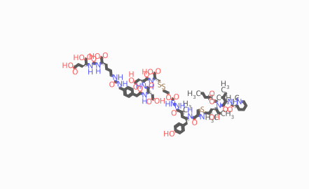 CCCC(=O)OCN(C(=O)[C@@H](NC(=O)[C@H]1CCCCN1C)C(C)CC)[C@H](C[C@@H](O)c1nc(C(=O)N[C@@H](Cc2ccc(O)cc2)C[C@H](C)C(=O)NNC(=O)OCCSSC[C@H](NC(=O)[C@H](CC(=O)O)NC(=O)[C@H](CC(=O)O)NC(=O)Cc2ccc(CNC(=O)NCCCC[C@@H](NC(=O)N[C@@H](CCC(=O)O)C(=O)O)C(=O)O)cc2)C(=O)O)cs1)C(C)C